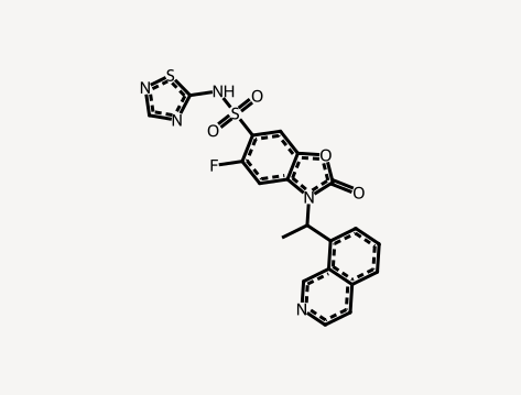 CC(c1cccc2ccncc12)n1c(=O)oc2cc(S(=O)(=O)Nc3ncns3)c(F)cc21